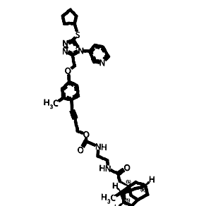 Cc1cc(OCc2nnc(SC3CCCC3)n2-c2cccnc2)ccc1C#CCOC(=O)NCCNC(=O)C[C@@]12CC3C[C@H](C[C@H](C3)[C@H]1C)C2